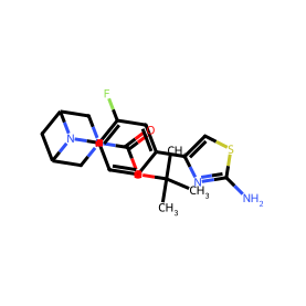 CC(C)(C)OC(=O)N1CC2CC(C1)N2c1ccc(-c2csc(N)n2)cc1F